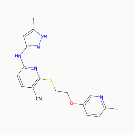 Cc1ccc(OCCSc2nc(Nc3cc(C)[nH]n3)ccc2C#N)cn1